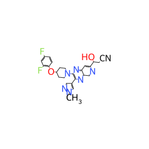 Cn1cc(-c2nc3cnc(C(O)CC#N)cc3nc2N2CCC(Oc3ccc(F)cc3F)CC2)cn1